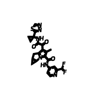 Cc1c(C(=O)C(=O)NC2(c3nncs3)CC2)c2n(c1C(=O)Nc1ccnc(C(F)F)c1)C1CC1C2